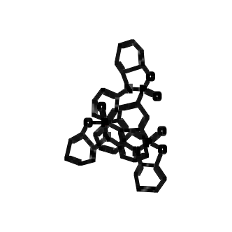 O=P1(c2cc(P3(=O)Oc4ccccc4N3c3ccccc3)cc(P3(=O)Oc4ccccc4N3c3ccccc3)c2)Oc2ccccc2N1c1ccccc1